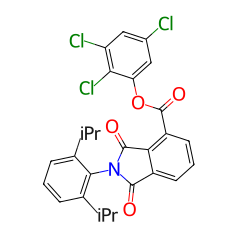 CC(C)c1cccc(C(C)C)c1N1C(=O)c2cccc(C(=O)Oc3cc(Cl)cc(Cl)c3Cl)c2C1=O